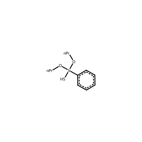 CCCO[Si](S)(OCCC)c1ccccc1